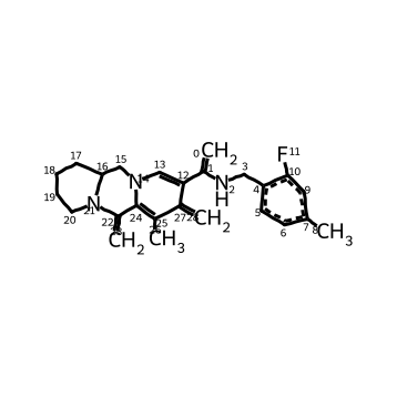 C=C(NCc1ccc(C)cc1F)C1=CN2CC3CCCCN3C(=C)C2=C(C)C1=C